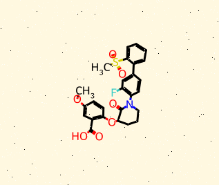 COc1ccc(OC2CCCN(c3ccc(-c4ccccc4S(C)(=O)=O)cc3F)C2=O)c(C(=O)O)c1